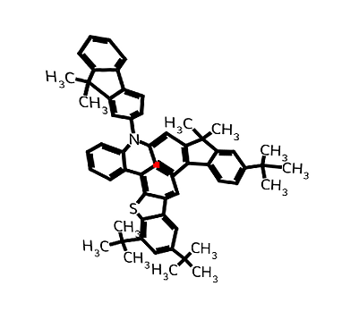 CC(C)(C)c1ccc2c(c1)C(C)(C)c1cc(N(c3ccc4c(c3)C(C)(C)c3ccccc3-4)c3ccccc3-c3cccc4c3sc3c(C(C)(C)C)cc(C(C)(C)C)cc34)ccc1-2